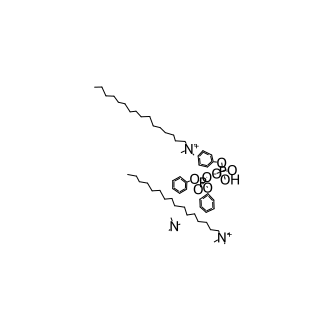 CCCCCCCCCCCCCCCC[N+](C)(C)C.CCCCCCCCCCCCCCCC[N+](C)(C)C.CN(C)C.O=P([O-])(O)Oc1ccccc1.O=P([O-])(Oc1ccccc1)Oc1ccccc1